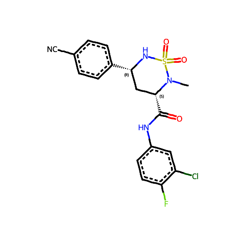 CN1[C@H](C(=O)Nc2ccc(F)c(Cl)c2)C[C@H](c2ccc(C#N)cc2)NS1(=O)=O